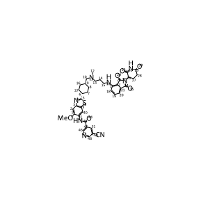 COc1cc2nc([C@H]3CC[C@H](CN(C)CCCNc4cccc5c4C(=O)N(C4CCC(=O)NC4=O)C5=O)CC3)sc2cc1NC(=O)c1cncc(C#N)c1